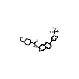 [2H]C([2H])([2H])n1cc(-c2cc3cc(NC(=O)C4CCN(CC(C)C)CC4)ncc3cn2)cn1